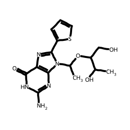 CC(O)C(CO)OC(C)n1c(-c2cccs2)nc2c(=O)[nH]c(N)nc21